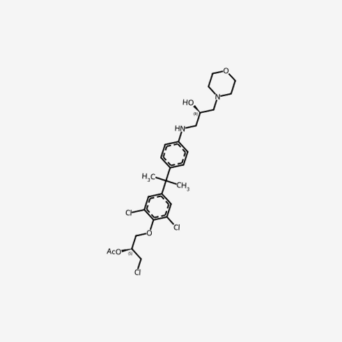 CC(=O)O[C@H](CCl)COc1c(Cl)cc(C(C)(C)c2ccc(NC[C@@H](O)CN3CCOCC3)cc2)cc1Cl